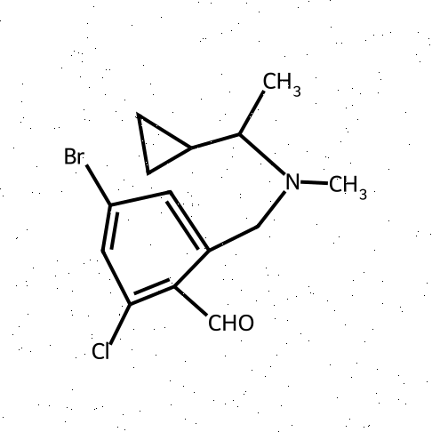 CC(C1CC1)N(C)Cc1cc(Br)cc(Cl)c1C=O